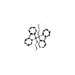 OCCCC1(C2(CCCO)c3ccccc3-c3ccccc32)c2ccccc2-c2ccccc21